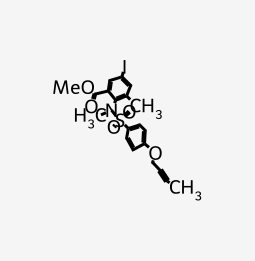 CC#CCOc1ccc(S(=O)(=O)N(C)c2c(C)cc(I)cc2C(=O)OC)cc1